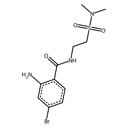 CN(C)S(=O)(=O)CCNC(=O)c1ccc(Br)cc1N